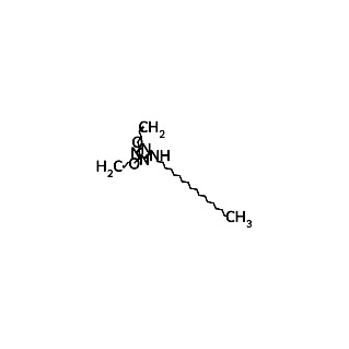 C=CCOc1nc(NCCCCCCCCCCCCCCCCCC)nc(OCC=C)n1